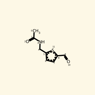 CC(=O)NCc1ccc(C=O)s1